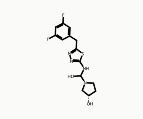 OC(Nc1nnc(Cc2cc(F)cc(F)c2)s1)N1CC[C@H](O)C1